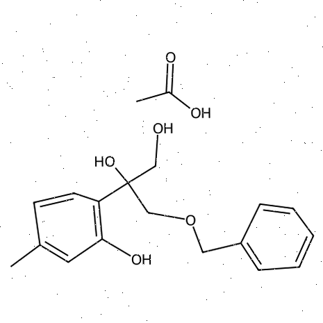 CC(=O)O.Cc1ccc(C(O)(CO)COCc2ccccc2)c(O)c1